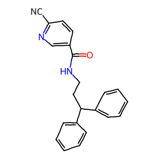 N#Cc1ccc(C(=O)NCCC(c2ccccc2)c2ccccc2)cn1